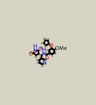 COc1ccc(C(=O)NC(c2cccnc2)[C@@H]2CC(=O)NC2=O)cc1OC1CCCC1